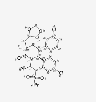 CC(C)C(CS(=O)(=O)C(C)C)N1C(=O)[C@@](C)(CC2OCOO2)C[C@H](c2cccc(Cl)c2)[C@H]1c1ccc(Cl)cc1